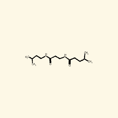 CC(C)CCNC(=O)CCNC(=O)CCC(C)C